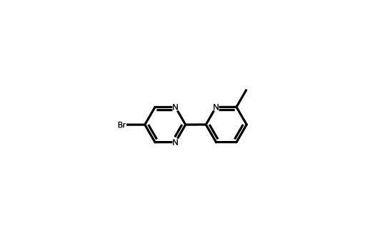 Cc1cccc(-c2ncc(Br)cn2)n1